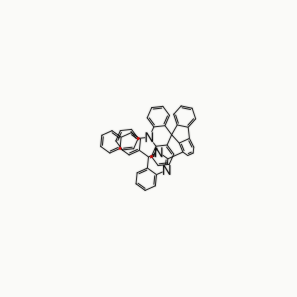 c1ccc(N2c3ccccc3C3(c4ccccc4-c4cccc(-c5nc(-c6ccc7ccccc7c6)c6ccccc6n5)c43)c3ccccc32)cc1